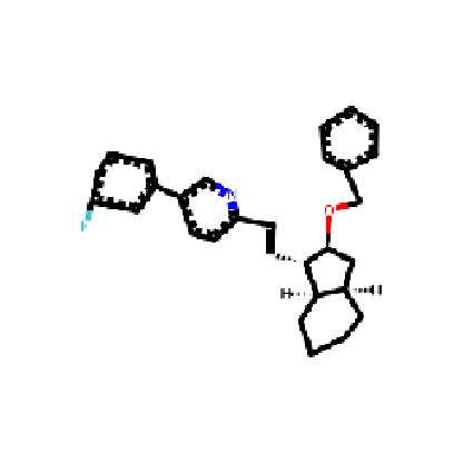 Fc1cccc(-c2ccc(/C=C/[C@H]3[C@@H]4CCCC[C@@H]4C[C@@H]3OCc3ccccc3)nc2)c1